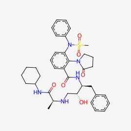 C[C@H](NC[C@@H](O)[C@H](Cc1ccccc1)NC(=O)c1cccc(N(c2ccccc2)S(C)(=O)=O)c1N1CCCC1=O)C(=O)NC1CCCCC1